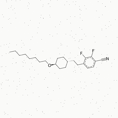 CCCCCCCCO[C@H]1CC[C@H](CCc2ccc(C#N)c(F)c2F)CC1